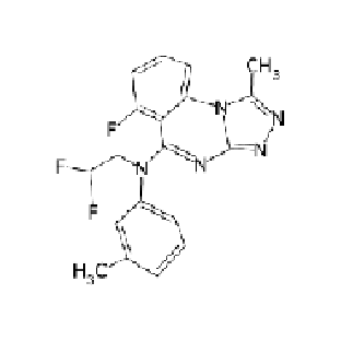 Cc1cccc(N(CC(F)F)c2nc3nnc(C)n3c3cccc(F)c23)c1